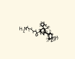 NCCCCCC(=O)c1cc2c(c(-c3ccc(O)cc3)n1)CCCc1ccccc1-2